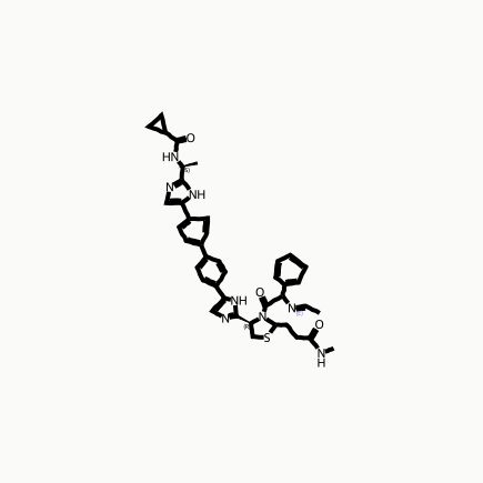 C/C=N/C(C(=O)N1C(CCC(=O)NC)SC[C@H]1c1ncc(-c2ccc(-c3ccc(-c4cnc([C@H](C)NC(=O)C5CC5)[nH]4)cc3)cc2)[nH]1)c1ccccc1